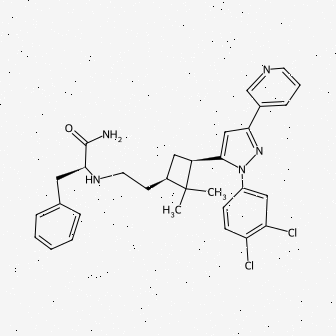 CC1(C)[C@@H](CCN[C@@H](Cc2ccccc2)C(N)=O)C[C@H]1c1cc(-c2cccnc2)nn1-c1ccc(Cl)c(Cl)c1